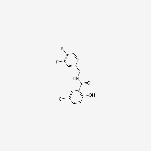 O=C(NCc1ccc(F)c(F)c1)c1cc(Cl)ccc1O